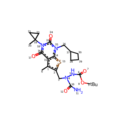 Cc1c(CN(NC(=O)OC(C)(C)C)C(N)=O)sc2c1c(=O)n(C1(C)CC1)c(=O)n2CC1CCC1